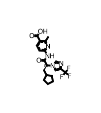 Cc1nc(NC(=O)[C@H](CC2CCCC2)n2cnc(C(F)(F)F)c2)ccc1C(=O)O